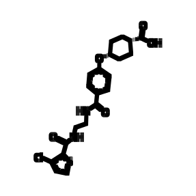 O=C(NCCNC(=O)c1sccc1Cl)c1ccc(O[C@H]2CC[C@@H](C(=O)O)CC2)cc1